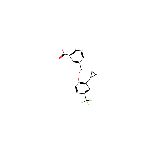 O=C(O)c1cccc(COc2ccc(C(F)(F)F)cc2C2CC2)c1